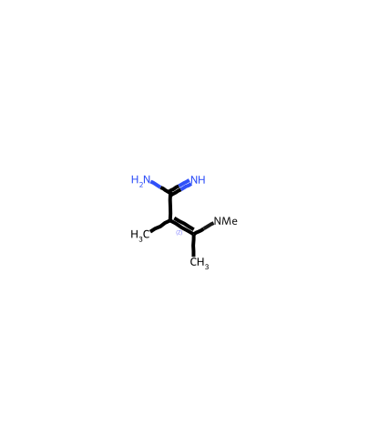 CN/C(C)=C(/C)C(=N)N